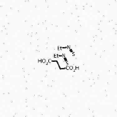 CCN=S.CCN=S.O=C(O)CCC(=O)O